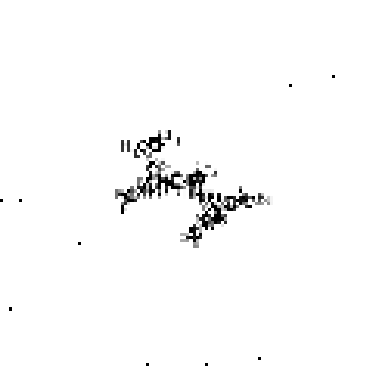 CCc1c(N2CCN(C(=O)OC(C)(C)C)CC2)c(=O)n2nc(N3C[C@@H](F)[C@@H](F)C3)nc2n1CC(=O)Nc1ccc(C(F)(F)F)cc1C.CCc1c(N2CCNCC2)c(=O)n2nc(N3C[C@@H](F)[C@@H](F)C3)nc2n1CC(=O)Nc1ccc(C(F)(F)F)cc1C